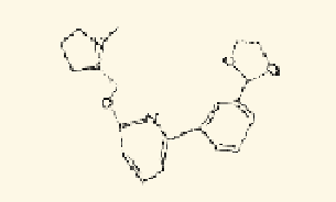 CN1CCC[C@H]1COc1cccc(-c2cccc(C3OCCO3)c2)n1